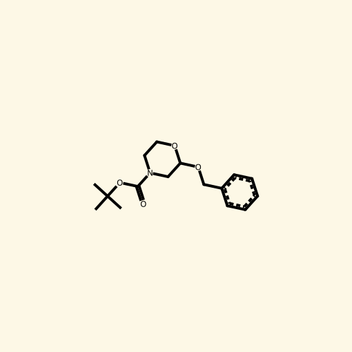 CC(C)(C)OC(=O)N1CCOC(OCc2ccccc2)C1